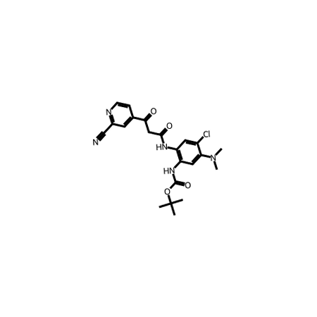 CN(C)c1cc(NC(=O)OC(C)(C)C)c(NC(=O)CC(=O)c2ccnc(C#N)c2)cc1Cl